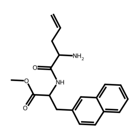 C=CCC(N)C(=O)NC(Cc1ccc2ccccc2c1)C(=O)OC